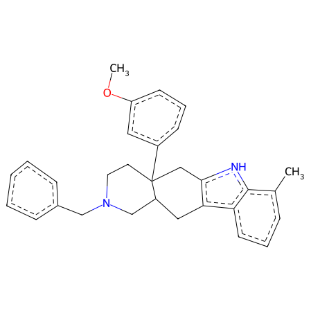 COc1cccc(C23CCN(Cc4ccccc4)CC2Cc2c([nH]c4c(C)cccc24)C3)c1